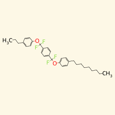 CCCCCCCCCc1ccc(OC(F)(F)c2ccc(C(F)(F)Oc3ccc(CCC)cc3)cc2)cc1